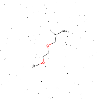 CC(C)COC(C)COCCOC(C)C